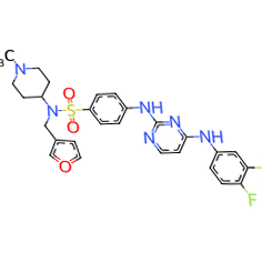 CN1CCC(N(Cc2ccoc2)S(=O)(=O)c2ccc(Nc3nccc(Nc4ccc(F)c(F)c4)n3)cc2)CC1